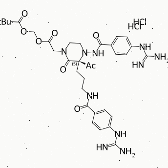 CC(=O)[C@@]1(CCCNC(=O)c2ccc(NC(=N)N)cc2)C(=O)N(CC(=O)OCOC(=O)C(C)(C)C)CCN1NC(=O)c1ccc(NC(=N)N)cc1.Cl.Cl